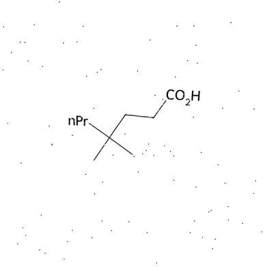 CCCC(C)(C)CCC(=O)O